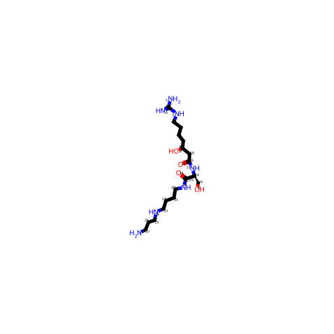 N=C(N)NCCCCC(O)CC(=O)N[C@@H](CO)C(=O)NCCCCNCCCN